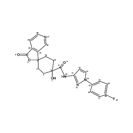 O=C1OC2(CCC(O)(C(=O)Nc3ccn(-c4ccc(F)cc4)n3)CC2)c2cnccc21